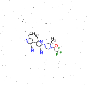 C=Cc1cc(-c2cc(C#N)c(N3CCN(C(=O)CC(F)(F)F)C(C)C3)nc2C2CC2)c(C#N)cn1